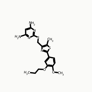 CCCOc1cc(-c2nc(CSc3nc(N)cc(N)n3)c(C)s2)ccc1OC